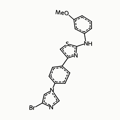 COc1cccc(Nc2nc(-c3ccc(-n4cnc(Br)c4)cc3)cs2)c1